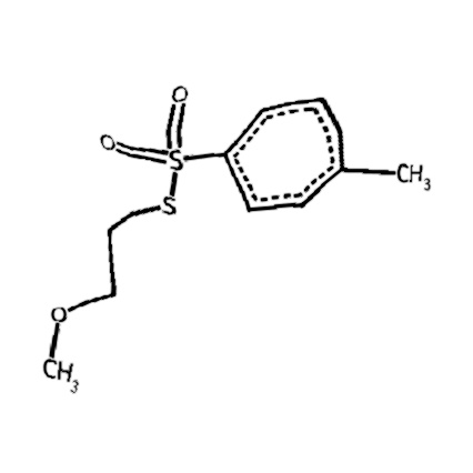 COCCSS(=O)(=O)c1ccc(C)cc1